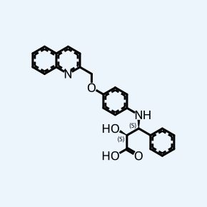 O=C(O)[C@@H](O)[C@@H](Nc1ccc(OCc2ccc3ccccc3n2)cc1)c1ccccc1